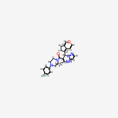 CC1=C(C(=O)N2CCN(c3ccc(F)cc3)CC2)C(C2=C3C=COC=C3CC2)n2nccc2N1